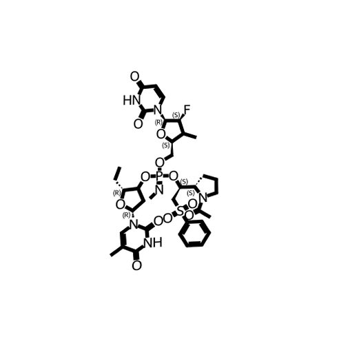 CC[C@H]1O[C@@H](n2cc(C)c(=O)[nH]c2=O)CC1OP(=NC)(OC[C@H]1O[C@@H](n2ccc(=O)[nH]c2=O)[C@@H](F)C1C)O[C@H](CS(=O)(=O)c1ccccc1)[C@@H]1CCCN1C(C)=O